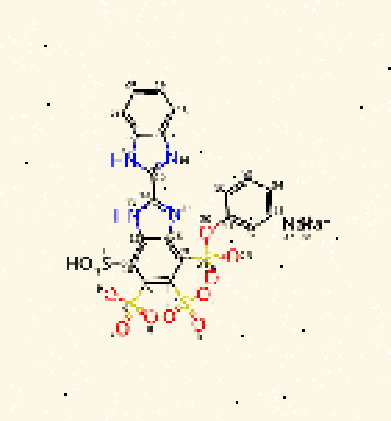 O=S(=O)([O-])c1c(S(=O)(=O)[O-])c(S(=O)(=O)O)c2[nH]c(-c3nc4ccccc4[nH]3)nc2c1S(=O)(=O)Oc1ccccc1.[Na+].[Na+]